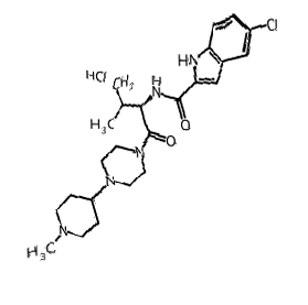 CC(C)[C@@H](NC(=O)c1cc2cc(Cl)ccc2[nH]1)C(=O)N1CCN(C2CCN(C)CC2)CC1.Cl